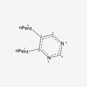 CCCCCc1cncnc1CCCCC